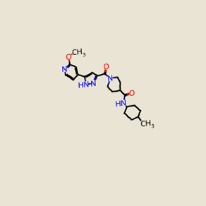 COc1cc(-c2cc(C(=O)N3CCC(C(=O)NC4CCC(C)CC4)CC3)n[nH]2)ccn1